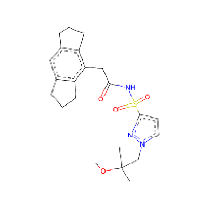 COC(C)(C)Cn1ccc(S(=O)(=O)NC(=O)Cc2c3c(cc4c2CCC4)CCC3)n1